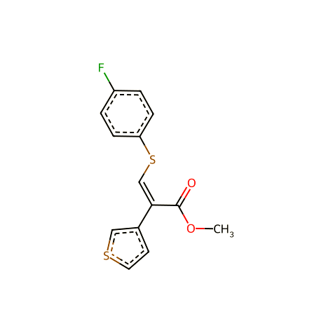 COC(=O)C(=CSc1ccc(F)cc1)c1ccsc1